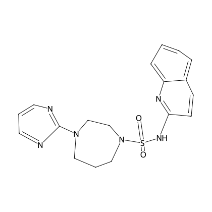 O=S(=O)(Nc1ccc2ccccc2n1)N1CCCN(c2ncccn2)CC1